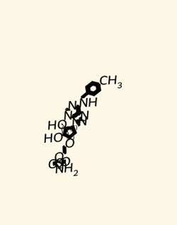 Cc1ccc(CNc2ncnc3c2nnn3[C@H]2C[C@@H](OCCOS(N)(=O)=O)[C@H](O)[C@@H]2O)cc1